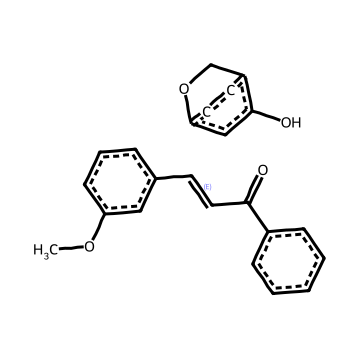 COc1cccc(/C=C/C(=O)c2ccccc2)c1.Oc1cc2ccc1CO2